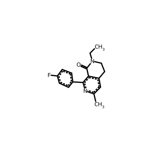 CCN1CCc2cc(C)nc(-c3ccc(F)cc3)c2C1=O